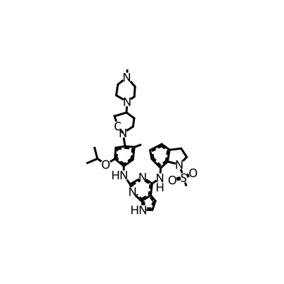 Cc1cc(Nc2nc(Nc3cccc4c3N(S(C)(=O)=O)CC4)c3cc[nH]c3n2)c(OC(C)C)cc1N1CCC(N2CCN(C)CC2)CC1